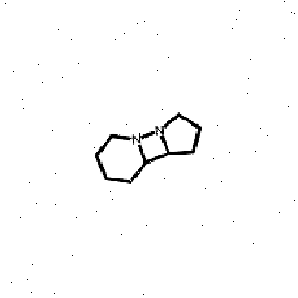 C1CCN2C(C1)C1CCCN12